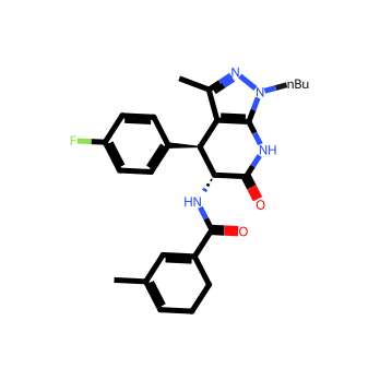 CCCCn1nc(C)c2c1NC(=O)[C@H](NC(=O)C1=CC(C)=CCC1)[C@H]2c1ccc(F)cc1